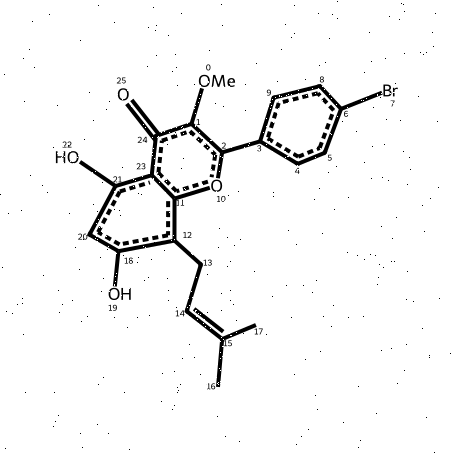 COc1c(-c2ccc(Br)cc2)oc2c(CC=C(C)C)c(O)cc(O)c2c1=O